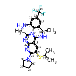 Cc1nc(N[C@H](C)c2cc(N)cc(C(F)(F)F)c2)c2cc(SC(C)C)c(N3CCCC3)nc2n1